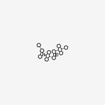 c1ccc(-c2ccc3c(c2)c2ccccc2n3-c2c3ccccc3c(-c3cccc4oc5c(-c6c7ccccc7c(-c7ccccc7)c7ccccc67)cccc5c34)c3ccccc23)cc1